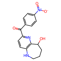 O=C(c1ccc([N+](=O)[O-])cc1)c1ccc2c(n1)C(O)CCCN2